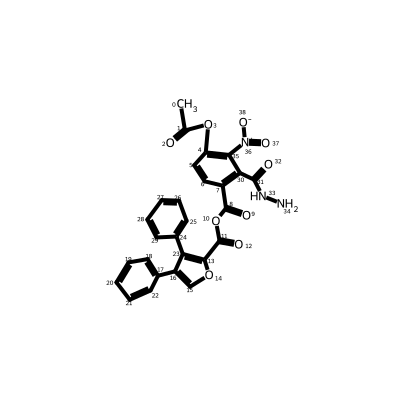 CC(=O)Oc1ccc(C(=O)OC(=O)c2occ(-c3ccccc3)c2-c2ccccc2)c(C(=O)NN)c1[N+](=O)[O-]